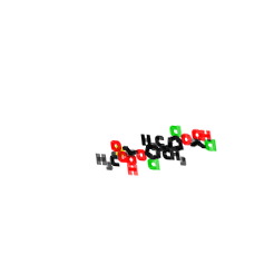 CCS(=O)(=O)C[C@@H](O)COc1ccc(C(C)(C)c2ccc(OC[C@@H](O)CCl)c(Cl)c2)cc1Cl